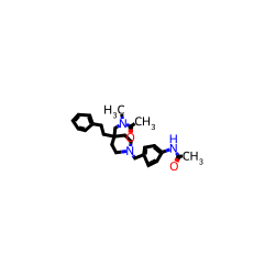 CC(=O)Nc1ccc(CN2CCC(CCc3ccccc3)(CN(C)C(C)=O)CC2)cc1